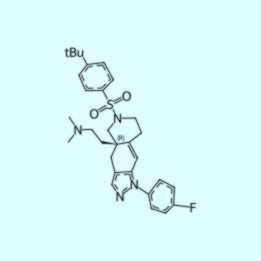 CN(C)CC[C@]12Cc3cnn(-c4ccc(F)cc4)c3C=C1CCN(S(=O)(=O)c1ccc(C(C)(C)C)cc1)C2